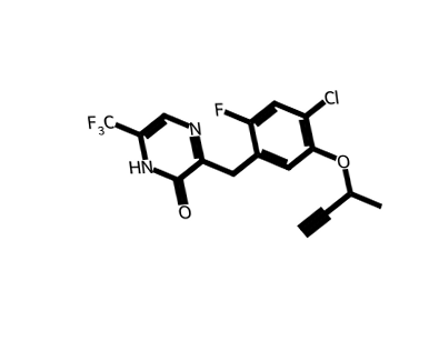 C#CC(C)Oc1cc(Cc2ncc(C(F)(F)F)[nH]c2=O)c(F)cc1Cl